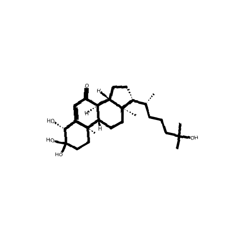 C[C@H](CCCC(C)(C)O)[C@H]1CC[C@H]2[C@@H]3C(=O)C=C4[C@@H](O)C(O)(O)CC[C@]4(C)[C@H]3CC[C@]12C